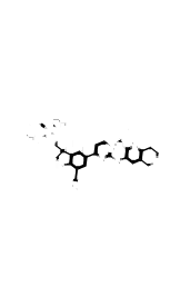 COc1nc2c(cc1Nc1nccc(-c3cc(C#N)c4c(c3)[C@@](C)(CO[Si](C)(C)C(C)(C)C)CN4)n1)COCC2